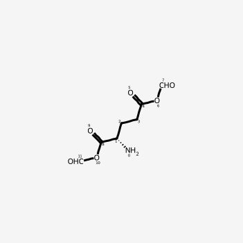 N[C@@H](CCC(=O)OC=O)C(=O)OC=O